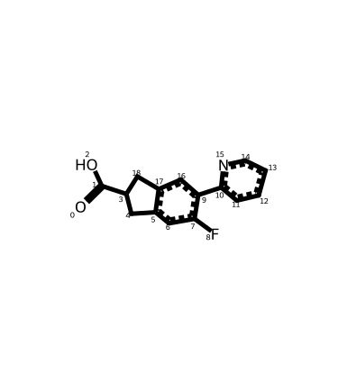 O=C(O)C1Cc2cc(F)c(-c3ccccn3)cc2C1